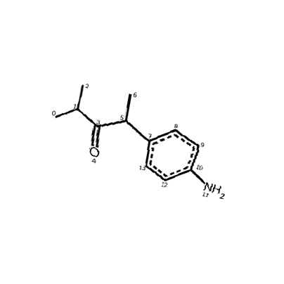 CC(C)C(=O)C(C)c1ccc(N)cc1